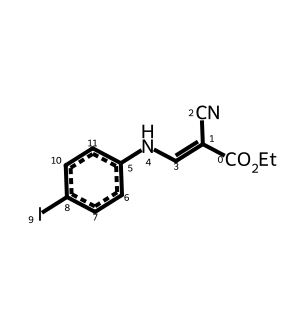 CCOC(=O)C(C#N)=CNc1ccc(I)cc1